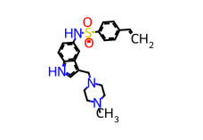 C=Cc1ccc(S(=O)(=O)Nc2ccc3[nH]cc(CN4CCN(C)CC4)c3c2)cc1